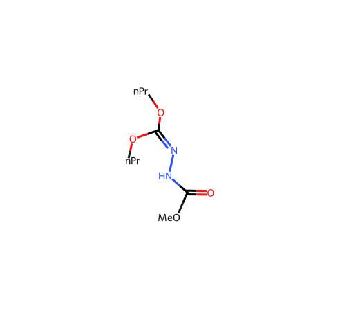 CCCOC(=NNC(=O)OC)OCCC